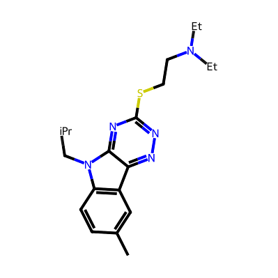 CCN(CC)CCSc1nnc2c3cc(C)ccc3n(CC(C)C)c2n1